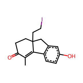 CC1=C2c3ccc(O)cc3CC2(CCI)CCC1=O